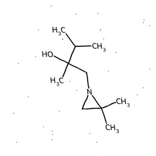 CC(C)C(C)(O)CN1CC1(C)C